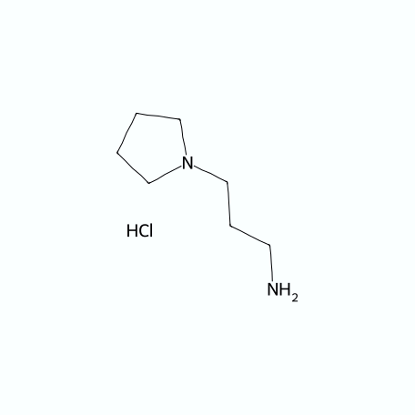 Cl.NCCCN1CCCC1